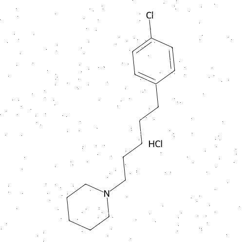 Cl.Clc1ccc(CCCCCN2CCCCC2)cc1